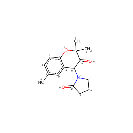 CC1(C)Oc2ccc(C#N)cc2C(N2CCCC2=O)C1=O